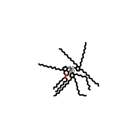 CCCCCCCCCCCCc1ccc(OP(=O)(Oc2ccc(CCCCCCCCCCCC)c(CCCCCCCCCCCC)c2CCCCCCCCCCCC)Oc2ccc(CCCCCCCCCCCC)c(CCCCCCCCCCCC)c2CCCCCCCCCCCC)c(CCCCCCCCCCCC)c1CCCCCCCCCCCC